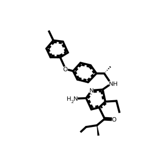 CCc1c(C(=O)[C@@H](C)CC)cc(N)nc1N[C@@H](C)c1ccc(Oc2ccc(C)cc2)cc1